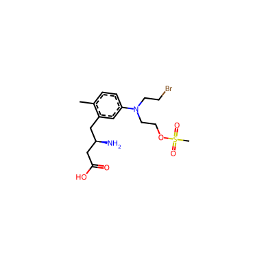 Cc1ccc(N(CCBr)CCOS(C)(=O)=O)cc1C[C@@H](N)CC(=O)O